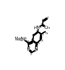 C=CC(=O)Nc1cc2c(NC)ncnc2cc1C